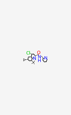 CC(C)(C)c1cc(C2CC2)cc2c(Cl)cc(C(=O)NCc3ccccn3)nc12